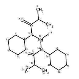 CC(C)C(=O)[N](C1CCCCC1)[Nd]([I])[N](C(=O)C(C)C)C1CCCCC1